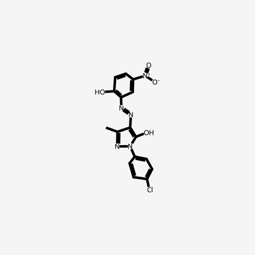 Cc1nn(-c2ccc(Cl)cc2)c(O)c1/N=N/c1cc([N+](=O)[O-])ccc1O